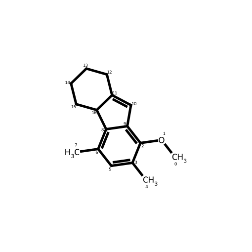 COc1c(C)cc(C)c2c1C=C1CCCCC12